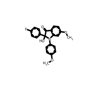 COc1ccc(N2c3cc(OC)ccc3C(=O)C2(O)c2ccc(F)cc2)cc1